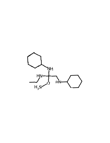 CCNC(CNC1CCCCC1)(NC1CCCCC1)O[SiH3]